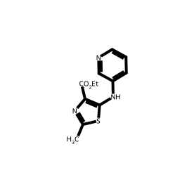 CCOC(=O)c1nc(C)sc1Nc1cccnc1